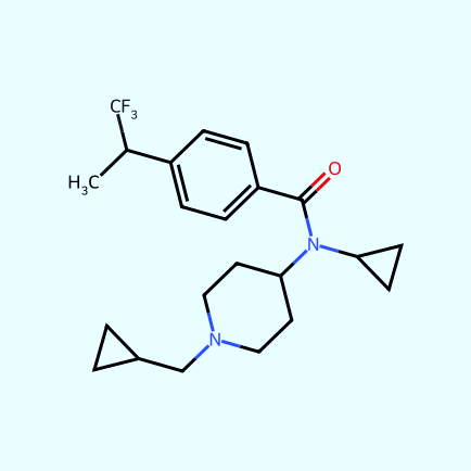 CC(c1ccc(C(=O)N(C2CC2)C2CCN(CC3CC3)CC2)cc1)C(F)(F)F